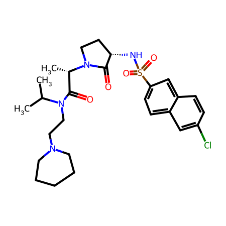 CC(C)N(CCN1CCCCC1)C(=O)[C@H](C)N1CC[C@H](NS(=O)(=O)c2ccc3cc(Cl)ccc3c2)C1=O